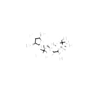 B[C@@H]1O[C@H](CC(C)(CC)OP(C)(=O)[C@@H](C)C(C)OP(=O)(O)C(C)(O)CC)[C@@H](O)[C@H]1O